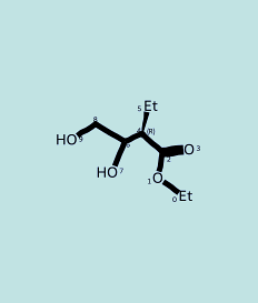 CCOC(=O)[C@H](CC)C(O)CO